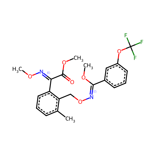 CO/N=C(/C(=O)OC)c1cccc(C)c1CO/N=C(\OC)c1cccc(OC(F)(F)F)c1